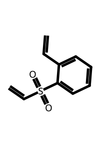 C=Cc1ccccc1S(=O)(=O)C=C